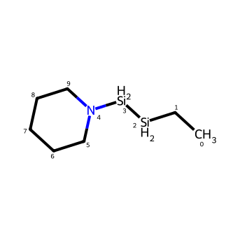 CC[SiH2][SiH2]N1CCCCC1